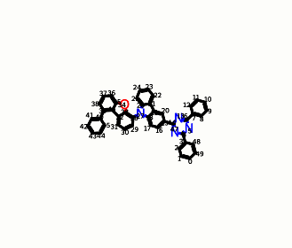 c1ccc(-c2nc(-c3ccccc3)nc(-c3ccc4c(c3)c3ccccc3n4-c3cccc4c3oc3cccc(-c5ccccc5)c34)n2)cc1